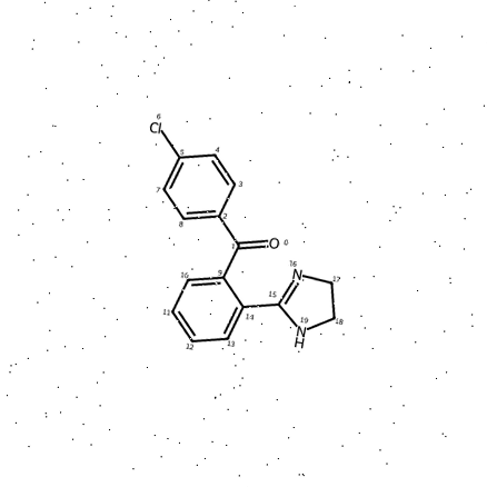 O=C(c1ccc(Cl)cc1)c1ccccc1C1=NCCN1